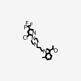 CC(=O)c1cn(CCCN2CCN(c3ncc(C(F)(F)F)cc3Cl)CC2)c2c(C)cccc12